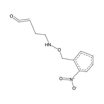 O=C=CCCNOCc1ccccc1[N+](=O)[O-]